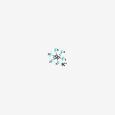 [F][Sb-]([F])([F])([F])([F])[F].[K+]